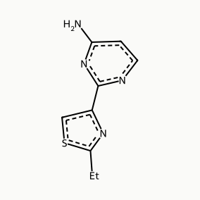 CCc1nc(-c2nccc(N)n2)cs1